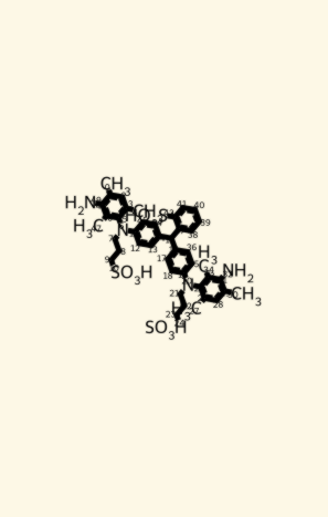 Cc1cc(C)c(N(CCCS(=O)(=O)O)c2ccc(C(c3ccc(N(CCCS(=O)(=O)O)c4c(C)cc(C)c(N)c4C)cc3)c3ccccc3S(=O)(=O)O)cc2)c(C)c1N